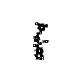 Cl.O=C(Nc1nnc(COc2cc(F)cc(Cl)c2)s1)c1ccc2c(c1)CCNC2